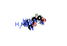 Cc1cc(-c2ccncc2NC(=O)c2nc(-c3cc(C(=O)N(C)C)ccc3F)ccc2N)nc(N)n1